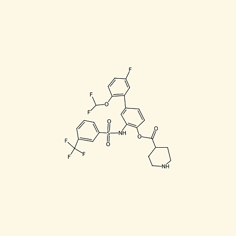 O=C(Oc1ccc(-c2cc(F)ccc2OC(F)F)cc1NS(=O)(=O)c1cccc(C(F)(F)F)c1)C1CCNCC1